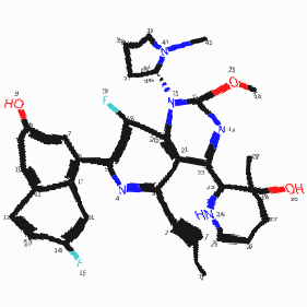 CC#Cc1nc(-c2cc(O)cc3ccc(F)cc23)c(F)c2c1C(C1NCCCC1(C)O)=NC(OC)N2[C@@H]1CCCN1C